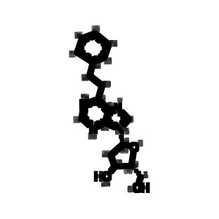 OC[C@H]1O[C@@H](n2cnc3c(CCc4ccccc4)ncnc32)CC1O